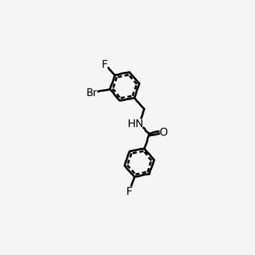 O=C(NCc1ccc(F)c(Br)c1)c1ccc(F)cc1